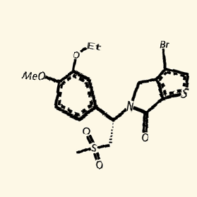 CCOc1cc([C@@H](CS(C)(=O)=O)N2Cc3c(Br)csc3C2=O)ccc1OC